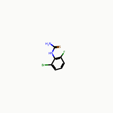 NC(=S)Nc1c(F)cccc1Br